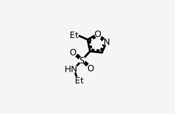 CCNS(=O)(=O)c1cnoc1CC